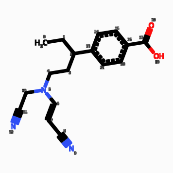 CCC(CCN(C=CC#N)CC#N)c1ccc(C(=O)O)cc1